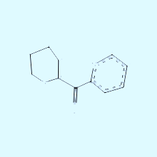 O=C(c1ccccn1)C1CCCCN1